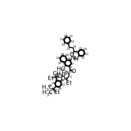 CCC(CNC(=O)c1cc(/N=N/c2ccccc2C(=O)CCc2ccccc2)c2ccccc2c1O)Oc1ccc(C(C)(C)CC)cc1C(C)(C)CC